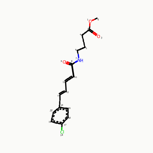 COC(=O)CCCNC(=O)C=CC=Cc1ccc(Cl)cc1